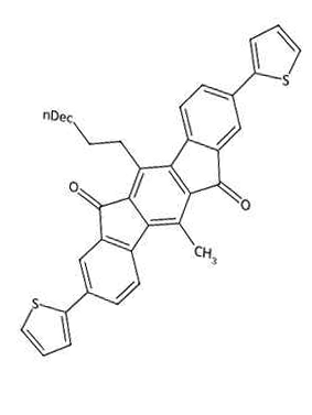 CCCCCCCCCCCCc1c2c(=O)c3cc(-c4cccs4)ccc3c2c(C)c2c(=O)c3cc(-c4cccs4)ccc3c12